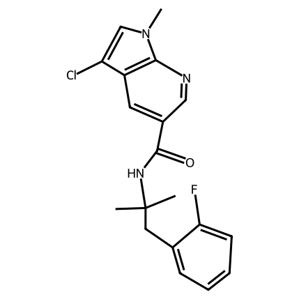 Cn1cc(Cl)c2cc(C(=O)NC(C)(C)Cc3ccccc3F)cnc21